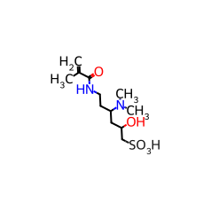 C=C(C)C(=O)NCCC(CC(O)CS(=O)(=O)O)N(C)C